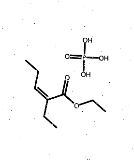 CCC=C(CC)C(=O)OCC.O=P(O)(O)O